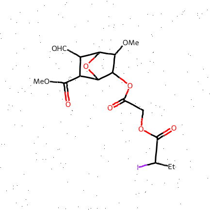 CCC(I)C(=O)OCC(=O)OC1C(OC)C2OC1C(C(=O)OC)C2C=O